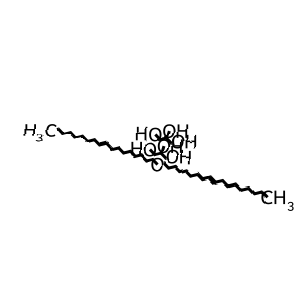 CCCCCCCCC=CCCCCCCCCOCCCCCCCCC=CCCCCCCCC.OCC(O)CO.OCC(O)CO